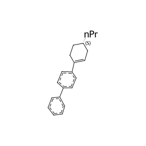 CCC[C@@H]1CC=C(c2ccc(-c3ccccc3)cc2)CC1